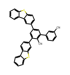 N#Cc1cccc(-c2cc(-c3ccc4sc5ccccc5c4c3)cc(-c3ccc4c(c3)sc3ccccc34)c2C#N)c1